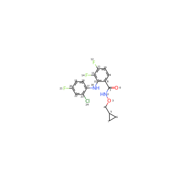 O=C(NOCC1CC1)c1ccc(F)c(F)c1Nc1ccc(F)cc1Cl